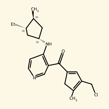 CC[C@H]1C[C@@H](Nc2ccncc2C(=O)C2=CC(CCl)=C(C)C2)C[C@@H]1C